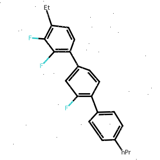 CCCc1ccc(-c2ccc(-c3ccc(CC)c(F)c3F)cc2F)cc1